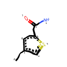 Cc1csc(C([NH])=O)c1